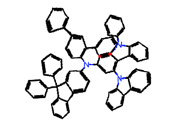 c1ccc(-c2ccc(N(c3ccc4c(c3)C(c3ccccc3)(c3ccccc3)c3ccccc3-4)c3cc(-n4c5ccccc5c5ccccc54)c4c5ccccc5n(-c5ccccc5)c4c3)c(-c3ccccc3)c2)cc1